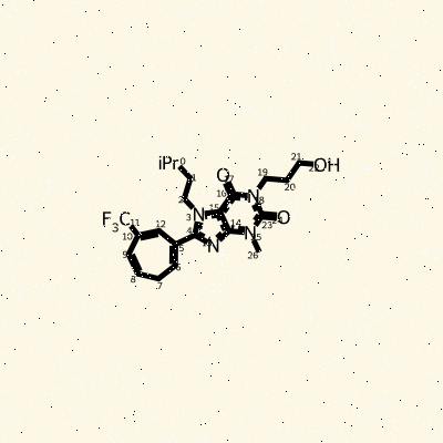 CC(C)CCn1c(C2=CCC=CC(C(F)(F)F)=C2)nc2c1c(=O)n(CCCO)c(=O)n2C